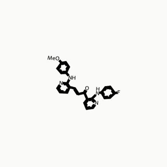 COc1ccc(Nc2ncccc2/C=C/C(=O)c2cccnc2Nc2ccc(F)cc2)cc1